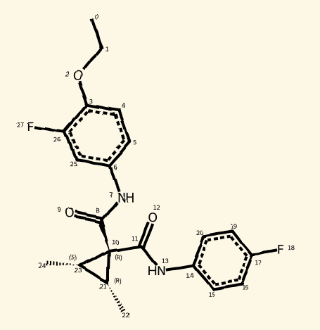 CCOc1ccc(NC(=O)[C@@]2(C(=O)Nc3ccc(F)cc3)[C@H](C)[C@@H]2C)cc1F